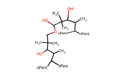 CCCCCC(CCCCC)C(C)C(O)C(C)(C)COC(O)C(C)(C)C(O)C(C)C(CCCCC)CCCCC